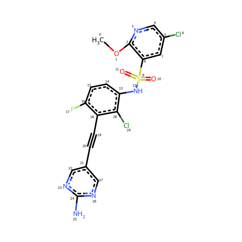 COc1ncc(Cl)cc1S(=O)(=O)Nc1ccc(F)c(C#Cc2cnc(N)nc2)c1Cl